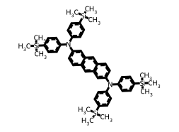 C[Si](C)(C)c1ccc(N(c2ccc([Si](C)(C)C)cc2)c2ccc3cc4cc(N(c5ccc([Si](C)(C)C)cc5)c5ccc([Si](C)(C)C)cc5)ccc4cc3c2)cc1